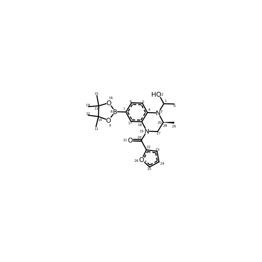 CC(O)N1c2ccc(B3OC(C)(C)C(C)(C)O3)cc2N(C(=O)c2ccco2)C[C@@H]1C